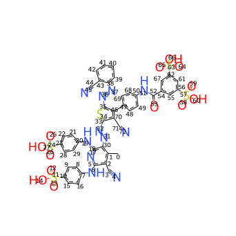 Cc1c(C#N)c(Nc2ccc(S(=O)(=O)O)cc2)nc(Nc2ccc(S(=O)(=O)O)cc2)c1N=Nc1sc(N=Nc2ccccc2C#N)c(-c2ccc(NC(=O)c3cc(S(=O)(=O)O)cc(S(=O)(=O)O)c3)cc2)c1C#N